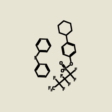 O=S(=O)(Oc1ccc(C2CCCCC2)cc1)C(F)(F)C(F)(F)C(F)(F)C(F)(F)F.c1ccc(Sc2ccccc2)cc1